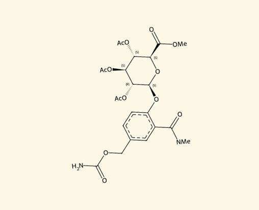 CNC(=O)c1cc(COC(N)=O)ccc1O[C@@H]1O[C@H](C(=O)OC)[C@@H](OC(C)=O)[C@H](OC(C)=O)[C@H]1OC(C)=O